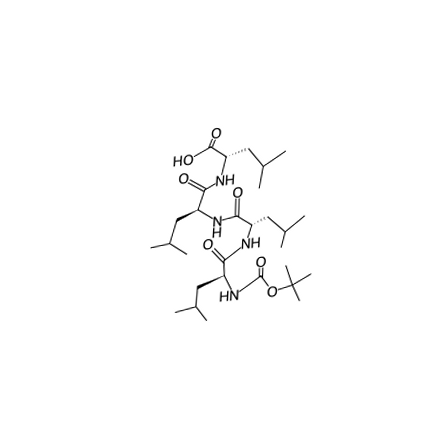 CC(C)C[C@H](NC(=O)[C@H](CC(C)C)NC(=O)[C@H](CC(C)C)NC(=O)[C@H](CC(C)C)NC(=O)OC(C)(C)C)C(=O)O